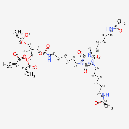 C=CC(=O)OCC(COC(=O)C=C)(COC(=O)C=C)COC(=O)NCCCCCCn1c(=O)n(CCCCCCNC(C)=O)c(=O)n(CCCCCCNC(C)=O)c1=O